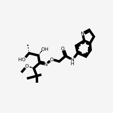 CO[C@H](/C(=N/OCC(=O)Nc1ccc2c(c1)N=CC2)[C@@H](O)[C@@H](C)O)C(C)(C)C